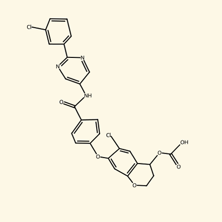 O=C(O)OC1CCOc2cc(Oc3ccc(C(=O)Nc4cnc(-c5cccc(Cl)c5)nc4)cc3)c(Cl)cc21